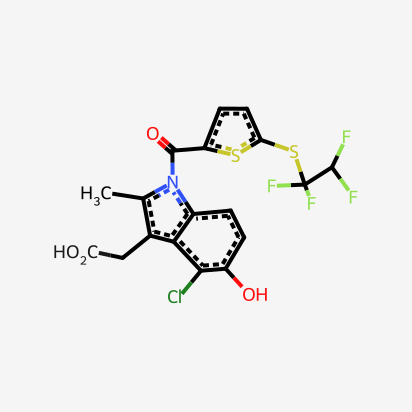 Cc1c(CC(=O)O)c2c(Cl)c(O)ccc2n1C(=O)c1ccc(SC(F)(F)C(F)F)s1